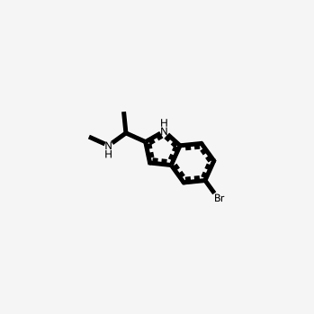 CNC(C)c1cc2cc(Br)ccc2[nH]1